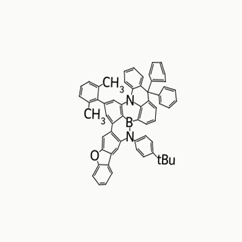 Cc1cccc(C)c1-c1cc2c3c(c1)N1c4ccccc4C(c4ccccc4)(c4ccccc4)c4cccc(c41)B3N(c1ccc(C(C)(C)C)cc1)c1cc3c(cc1-2)oc1ccccc13